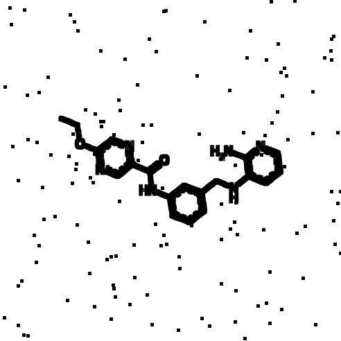 CCOc1cnc(C(=O)Nc2cccc(CNc3cccnc3N)c2)cn1